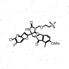 COc1ccc2c(c1F)C(=O)N(C[C@@]1(c3cc4nc(Cl)c(F)cc4o3)NC(=O)N(COCC[Si](C)(C)C)C1=O)C2